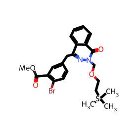 COC(=O)c1cc(Cc2nn(COCC[Si](C)(C)C)c(=O)c3ccccc23)ccc1Br